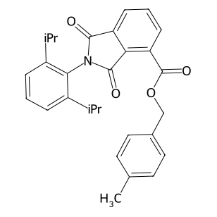 Cc1ccc(COC(=O)c2cccc3c2C(=O)N(c2c(C(C)C)cccc2C(C)C)C3=O)cc1